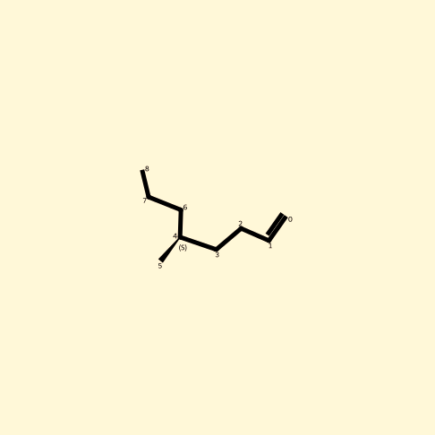 C=CCC[C@@H](C)CCC